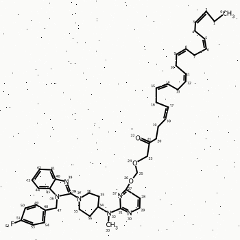 CC/C=C\C/C=C\C/C=C\C/C=C\C/C=C\C/C=C\CCC(=O)COCOc1ccnc(N(C)C2CCN(c3nc4ccccc4n3Cc3ccc(F)cc3)CC2)n1